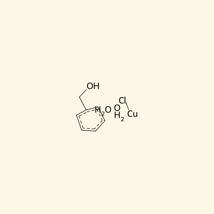 O.O.OCc1ccccc1.[Cl][Cu]